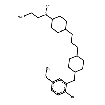 COCCN(C(C)=O)C1CCC(CCCN2CCC(Cc3cc(OC(C)C)ccc3Br)CC2)CC1